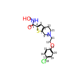 O=C(NO)c1cc2c(s1)CN(CCOc1ccc(Cl)cc1)CC2